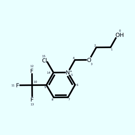 OCCOC[n+]1cccc(C(F)(F)F)c1Cl